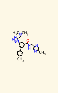 Cc1ccc(-c2cc(C(=O)NCc3cnc(C)cn3)cc(-n3nnnc3CN(C)C)c2)cc1